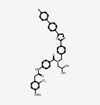 COc1ccc(CC(=O)Nc2ccc(C(=O)N(Cc3ccc(-c4ncc(-c5ccc(-c6ccc(C)cc6)cc5)o4)cc3)CC(O)O)cc2)c(C(F)(F)F)c1